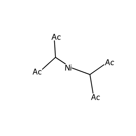 CC(=O)[CH]([Ni][CH](C(C)=O)C(C)=O)C(C)=O